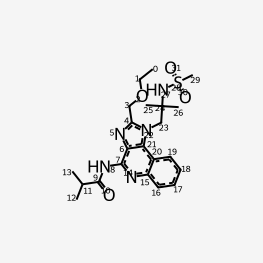 CCOCc1nc2c(NC(=O)C(C)C)nc3ccccc3c2n1CC(C)(C)NS(C)(=O)=O